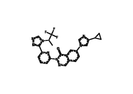 CC(n1cnnc1-c1cccc(-n2ncc3ccc(-n4cnc(C5CC5)c4)cc3c2=O)n1)C(F)(F)F